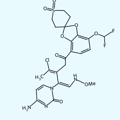 CON/C=C(\C(CC(=O)c1ccc(OC(F)F)c2c1OC1(CCS(=O)(=O)CC1)O2)=C(/C)Cl)n1ccc(N)nc1=O